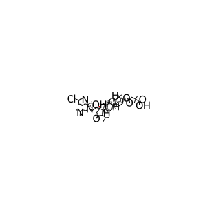 CC(C)C1=C2[C@H]3CC[C@@H]4[C@@]5(C)CC[C@H](OC(=O)CC(C)(C)C(=O)O)C(C)(C)[C@@H]5CC[C@@]4(C)[C@]3(C)CCC2(C(O)CN(CCN(C)C)[C@@H](C)c2ccc(Cl)cn2)CC1=O